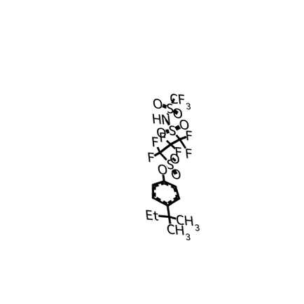 CCC(C)(C)c1ccc(OS(=O)(=O)C(F)(F)C(F)(F)C(F)(F)S(=O)(=O)NS(=O)(=O)C(F)(F)F)cc1